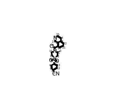 C[C@H]1CN(S(=O)(=O)c2ccc(C#N)cc2)CCN1C(=O)c1cccc2ccncc12